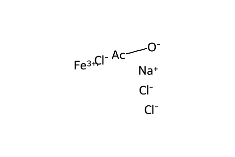 CC(=O)[O-].[Cl-].[Cl-].[Cl-].[Fe+3].[Na+]